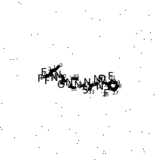 Cc1cc(C(F)(F)F)nn1CC(=O)N1CCN(c2nc(-c3noc(-c4c(F)cccc4F)n3)cs2)CC1